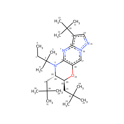 CCC(C)(C)N1c2nc3c(C(C)(C)C)cnn3cc2O[C@@H](CC(C)(C)C)[C@@H]1CC(C)(C)C